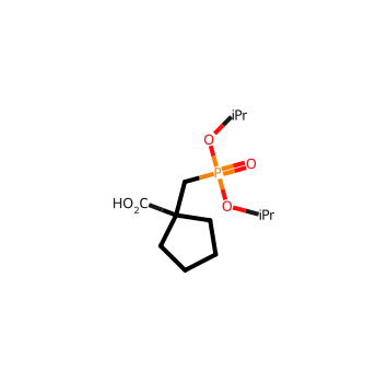 CC(C)OP(=O)(CC1(C(=O)O)CCCC1)OC(C)C